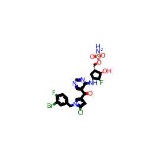 NS(=O)(=O)OC[C@H]1C[C@@H](Nc2ncncc2C(=O)c2cc(Cl)n(Cc3ccc(F)c(Br)c3)c2)[C@@H](F)[C@@H]1O